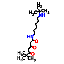 CC(C)(C)NCCCCCCNC(=O)CC(=O)CC(=O)C(C)(C)C